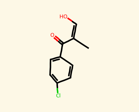 C/C(=C/O)C(=O)c1ccc(Cl)cc1